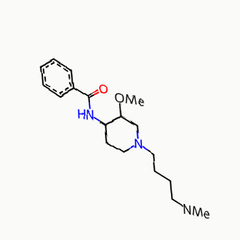 CNCCCCN1CCC(NC(=O)c2ccccc2)C(OC)C1